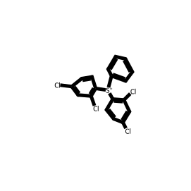 Clc1ccc([S+](c2ccccc2)c2ccc(Cl)cc2Cl)c(Cl)c1